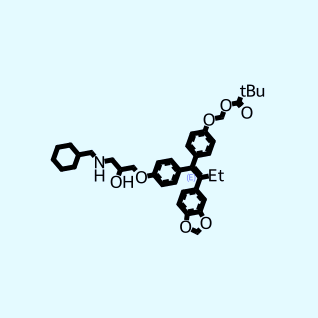 CC/C(=C(\c1ccc(OCOC(=O)C(C)(C)C)cc1)c1ccc(OCC(O)CNCC2CCCCC2)cc1)c1ccc2c(c1)OCO2